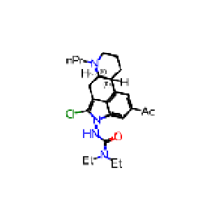 CCCN1CCC[C@@H]2c3cc(C(C)=O)cc4c3c(c(Cl)n4NC(=O)N(CC)CC)C[C@H]21